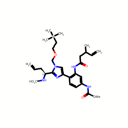 C=CC[C@H](NC(=O)O)c1nc(-c2ccc(NC(=O)OC)cc2NC(=O)CC(C)C=C)cn1COCC[Si](C)(C)C